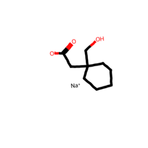 O=C([O-])CC1(CO)CCCCC1.[Na+]